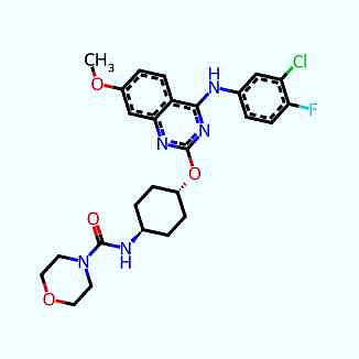 COc1ccc2c(Nc3ccc(F)c(Cl)c3)nc(O[C@H]3CC[C@H](NC(=O)N4CCOCC4)CC3)nc2c1